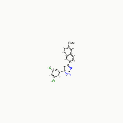 CN=C(/C=C(\N)c1cc(Cl)cc(Cl)c1)c1ccc2cc(OC)ccc2c1